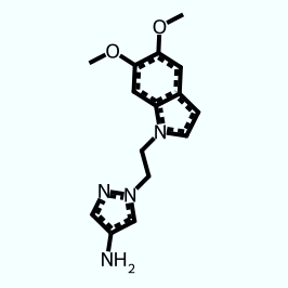 COc1cc2ccn(CCn3cc(N)cn3)c2cc1OC